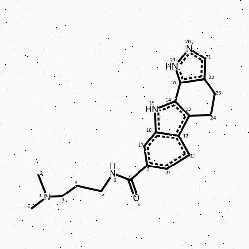 CN(C)CCCNC(=O)c1ccc2c3c([nH]c2c1)-c1[nH]ncc1CC3